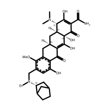 CCN(Cc1cc(O)c2c(c1OC)C[C@H]1C[C@H]3[C@H](N(C)C)C(O)=C(C(N)=O)C(=O)[C@@]3(O)C(O)=C1C2=O)[C@@H]1CC2CCC1C2